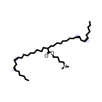 CCCCC/C=C\C/C=C\CCCCCCCCC(CCCCCCCC/C=C\C/C=C\CCCCC)C(=O)OCCCCN(C)C